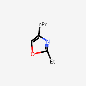 [CH2]Cc1nc(CCC)co1